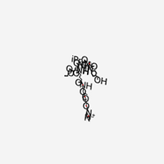 C=CCOC(=O)CC[C@H](NC(=O)CCCC(=O)NCCOCCOCCOCCN=[N+]=[N-])C(=O)N[C@H](C(=O)N[C@@H](C)C(=O)Nc1ccc(CO)cc1)C(C)C